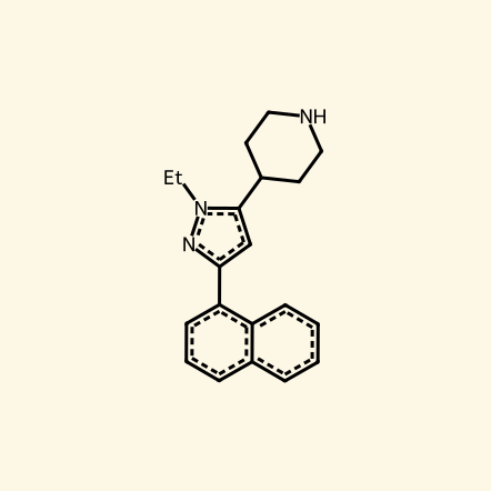 CCn1nc(-c2cccc3ccccc23)cc1C1CCNCC1